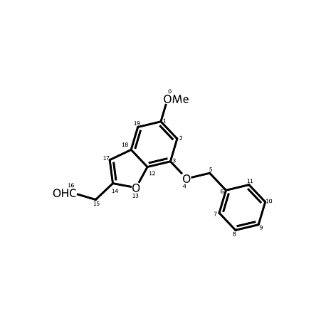 COc1cc(OCc2ccccc2)c2oc(CC=O)cc2c1